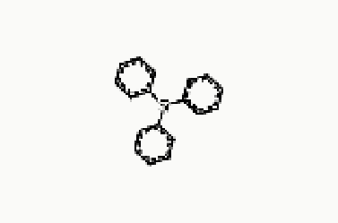 [c]1ccccc1[Si](c1ccccc1)c1ccccc1